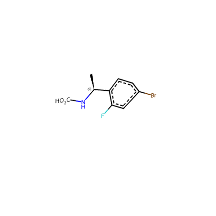 C[C@H](NC(=O)O)c1ccc(Br)cc1F